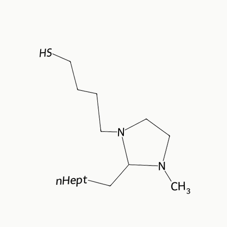 CCCCCCCCC1N(C)CCN1CCCCS